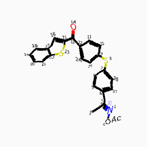 CC(=O)O/N=C(\C)c1ccc(Sc2ccc(C(=O)c3cc4ccccc4s3)cc2)cc1